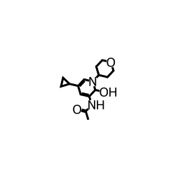 CC(=O)NC1=CC(C2CC2)=CN(C2CCOCC2)C1O